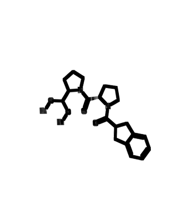 CCOC(OCC)C1CCCN1C(=O)[C@@H]1CCCN1C(=O)C1Cc2ccccc2C1